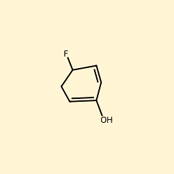 OC1=CCC(F)C=C1